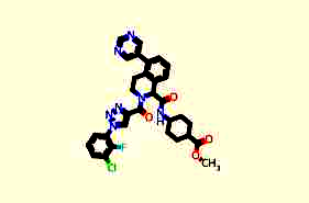 COC(=O)C1CCC(NC(=O)C2c3cccc(-c4cncnc4)c3CCN2C(=O)c2cn(-c3cccc(Cl)c3F)nn2)CC1